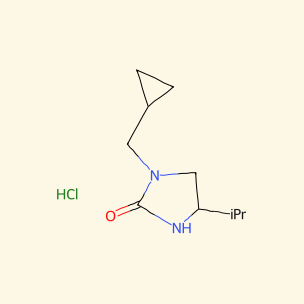 CC(C)C1CN(CC2CC2)C(=O)N1.Cl